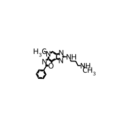 CNCCCNc1nc2cn(C)c3nc(-c4ccccc4)oc3c-2n1